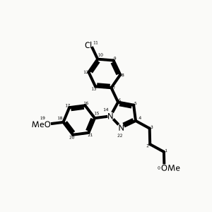 COCCCc1cc(-c2ccc(Cl)cc2)n(-c2ccc(OC)cc2)n1